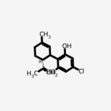 C=C(C)[C@@H]1CCC(C)=CC1c1c(O)cc(Cl)cc1O